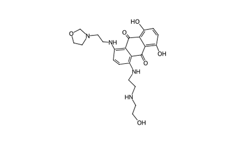 O=C1c2c(O)ccc(O)c2C(=O)c2c(NCCN3CCOC3)ccc(NCCNCCO)c21